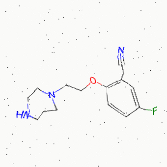 N#Cc1cc(F)ccc1OCCN1CCNCC1